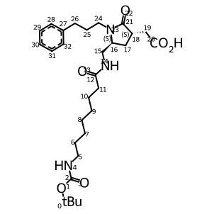 CC(C)(C)OC(=O)NCCCCCCCC(=O)NC[C@@H]1C[C@@H](CC(=O)O)C(=O)N1CCCc1ccccc1